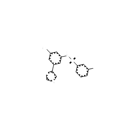 CC(C)c1cc(NS(=O)(=O)c2cccc(Cl)c2)cc(-c2cnco2)c1